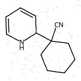 N#CC1(C2C=CC=CN2)CCCCC1